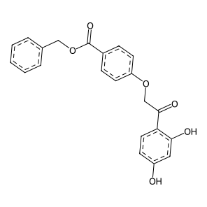 O=C(OCc1ccccc1)c1ccc(OCC(=O)c2ccc(O)cc2O)cc1